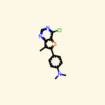 Cc1c(-c2ccc(N(C)C)cc2)sc2c(Cl)ncnc12